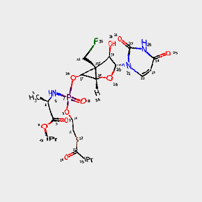 CC(C)OC(=O)[C@@H](C)N[P@@](=O)(OCCSC(=O)C(C)C)OC1[C@H]2O[C@@H](n3ccc(=O)[nH]c3=O)[C@H](O)[C@@]12CF